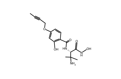 CC#CCOc1ccc(C(=O)N[C@H](C(=O)NO)C(C)(C)N)c(O)c1